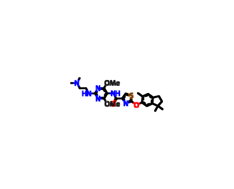 COc1nc(NCCN(C)C)nc(OC)c1NC(=O)c1csc(Oc2cc3c(cc2C)CCC3(C)C)n1